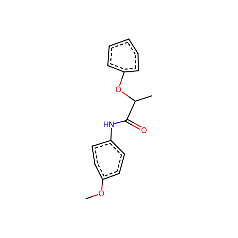 COc1ccc(NC(=O)C(C)Oc2ccccc2)cc1